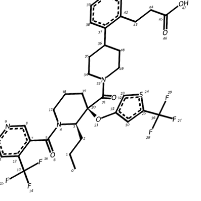 CCC[C@H]1N(C(=O)c2cnccc2C(F)(F)F)CCC[C@]1(Oc1csc(C(F)(F)F)c1)C(=O)N1CCC(c2ccccc2CCC(=O)O)CC1